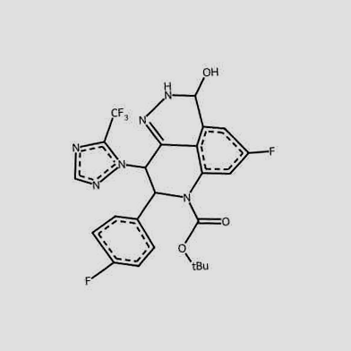 CC(C)(C)OC(=O)N1c2cc(F)cc3c2C(=NNC3O)C(n2ncnc2C(F)(F)F)C1c1ccc(F)cc1